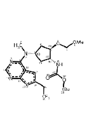 COCO[C@@H]1C[C@@H](N(C)c2ncnc3sc(CC(F)(F)F)cc23)C[C@H]1NC(=O)OC(C)(C)C